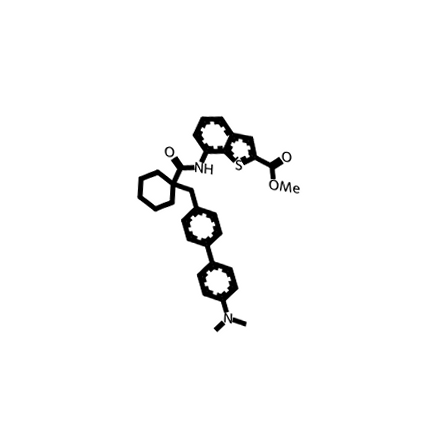 COC(=O)c1cc2cccc(NC(=O)C3(Cc4ccc(-c5ccc(N(C)C)cc5)cc4)CCCCC3)c2s1